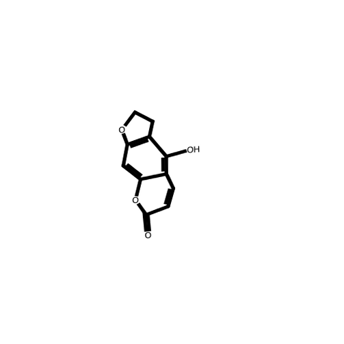 O=c1ccc2c(O)c3c(cc2o1)OCC3